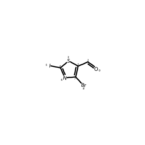 O=Cc1sc(I)nc1Br